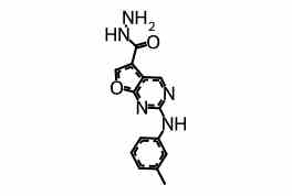 Cc1cccc(Nc2ncc3c(C(=O)NN)coc3n2)c1